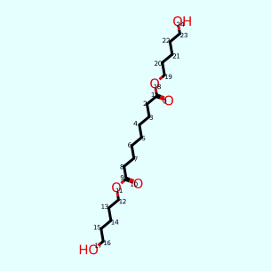 O=C(CCCCCCCC(=O)OCCCCCO)OCCCCCO